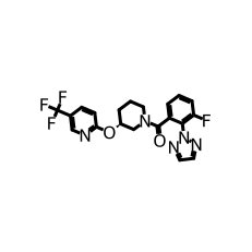 O=C(c1cccc(F)c1-n1nccn1)N1CCC[C@@H](Oc2ccc(C(F)(F)F)cn2)C1